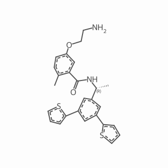 Cc1ccc(OCCN)cc1C(=O)N[C@H](C)c1cc(-c2cccs2)cc(-c2cccs2)c1